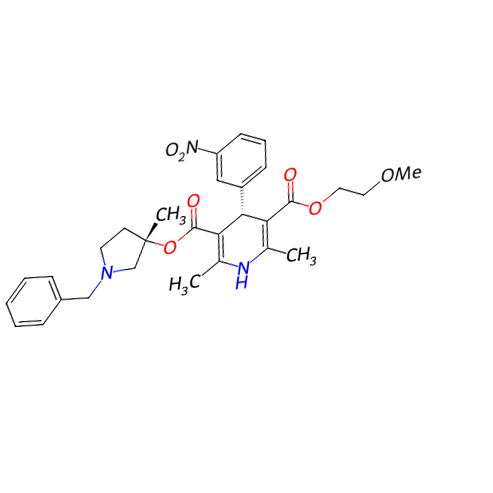 COCCOC(=O)C1=C(C)NC(C)=C(C(=O)O[C@@]2(C)CCN(Cc3ccccc3)C2)[C@@H]1c1cccc([N+](=O)[O-])c1